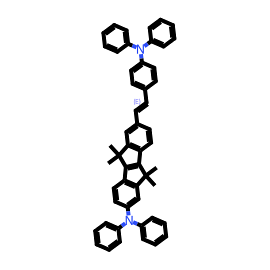 CC1(C)C2=C(c3ccc(/C=C/c4ccc(N(c5ccccc5)c5ccccc5)cc4)cc31)C(C)(C)c1cc(N(c3ccccc3)c3ccccc3)ccc12